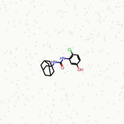 O=C(Nc1cc(O)ccc1Cl)NC12CC3CC(CC(C3)C1)C2